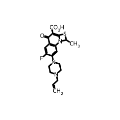 C=CCN1CCN(c2cc3c(cc2F)c(=O)c(C(=O)O)c2n3C(C)S2)CC1